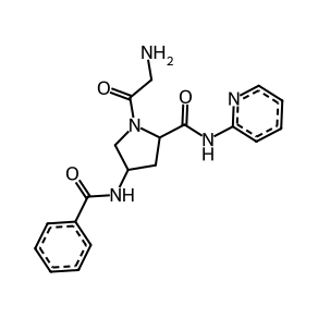 NCC(=O)N1CC(NC(=O)c2ccccc2)CC1C(=O)Nc1ccccn1